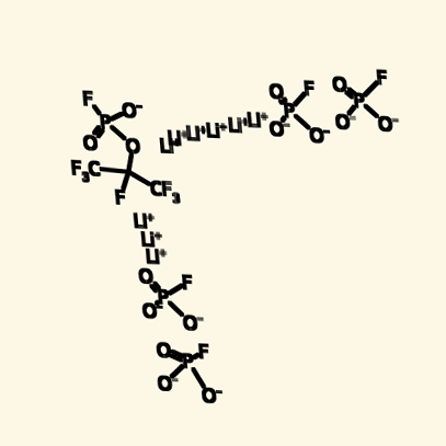 O=P([O-])(F)OC(F)(C(F)(F)F)C(F)(F)F.O=P([O-])([O-])F.O=P([O-])([O-])F.O=P([O-])([O-])F.O=P([O-])([O-])F.[Li+].[Li+].[Li+].[Li+].[Li+].[Li+].[Li+].[Li+].[Li+]